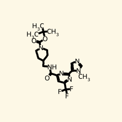 Cn1cncc1-c1nc(C(=O)NCC2CCN(C(=O)OC(C)(C)C)CC2)cc(C(F)(F)F)n1